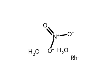 O.O.O=[N+]([O-])[O-].[Rh]